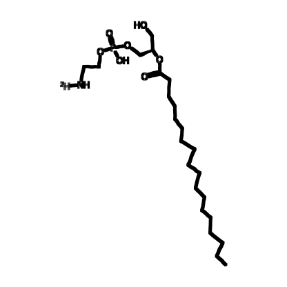 [2H]NCCOP(=O)(O)OC[C@@H](CO)OC(=O)CCCCCCCCCCCCCCCCC